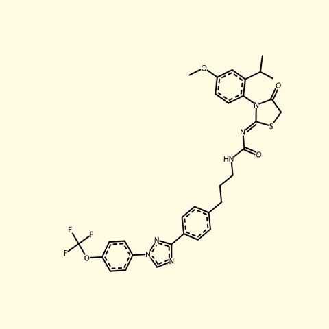 COc1ccc(N2C(=O)CS/C2=N\C(=O)NCCCc2ccc(-c3ncn(-c4ccc(OC(F)(F)F)cc4)n3)cc2)c(C(C)C)c1